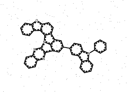 c1ccc(-n2c3ccccc3c3cc(-c4cc5c6ccc7oc8ccccc8c7c6n6c7nc8ccccc8nc7c(c4)c56)ccc32)cc1